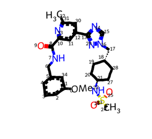 COc1cccc(CNC(=O)c2cc(-c3ncn(C[C@H]4CC[C@H](NS(C)(=O)=O)CC4)n3)cc(C)n2)c1